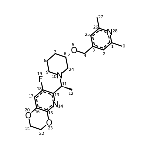 Cc1cc(CO[C@H]2CCCN([C@@H](C)c3nc4c(cc3F)OCCO4)C2)cc(C)n1